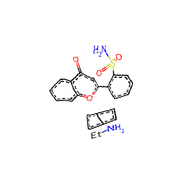 CCN.NS(=O)(=O)c1ccccc1-c1cc(=O)c2ccccc2o1.c1cc2ccc1-2